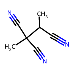 CC(C#N)C(C)(C#N)C#N